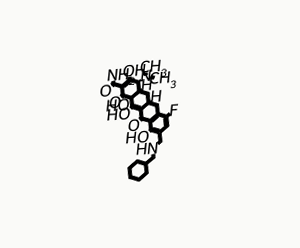 CN(C)[C@@H]1C(O)=C(C(N)=O)C(=O)[C@@]2(O)C(O)=C3C(=O)c4c(O)c(CNCC5CCCCC5)cc(F)c4C[C@H]3C[C@@H]12